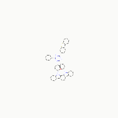 c1ccc(-c2nc(-c3ccc(-n4c5ccccc5c5ccc6c7ccccc7n(-c7ccccc7)c6c54)cc3)nc(-c3ccc4c(c3)sc3ccccc34)n2)cc1